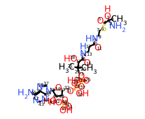 CC(N)(O)C(=O)SCCNC(=O)CCNC(=O)[C@H](O)C(C)(C)COP(=O)(O)OP(=O)(O)OC[C@H]1O[C@@H](n2cnc3c(N)ncnc32)[C@H](O)[C@@H]1OP(=O)(O)O